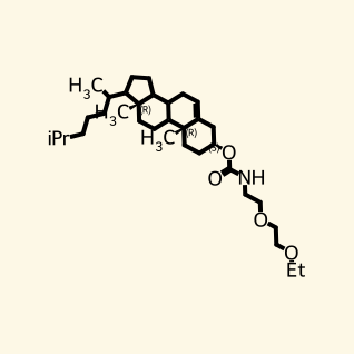 CCOCCOCCNC(=O)O[C@H]1CC[C@@]2(C)C(=CCC3C4CCC(C(C)CCCC(C)C)[C@@]4(C)CCC32)C1